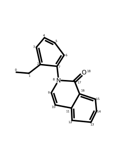 CCc1ccccc1-n1ccc2ccccc2c1=O